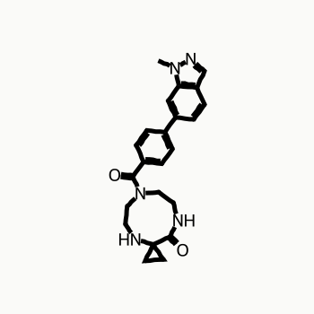 Cn1ncc2ccc(-c3ccc(C(=O)N4CCNC(=O)C5(CC5)NCC4)cc3)cc21